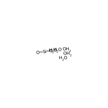 O.O.O.O.O.O=[Si]=O